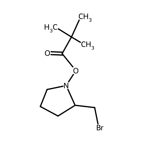 CC(C)(C)C(=O)ON1CCCC1CBr